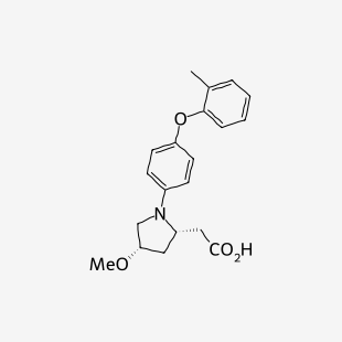 CO[C@H]1C[C@@H](CC(=O)O)N(c2ccc(Oc3ccccc3C)cc2)C1